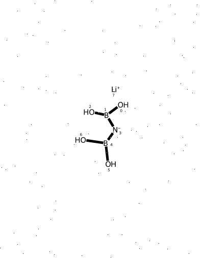 OB(O)[N-]B(O)O.[Li+]